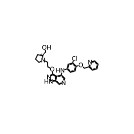 OC[C@@H]1CCCN1CCOc1n[nH]c2cncc(Nc3ccc(OCc4ccccn4)c(Cl)c3)c12